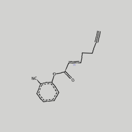 C#CCC/C=C/C(=O)Oc1ccccc1C#N